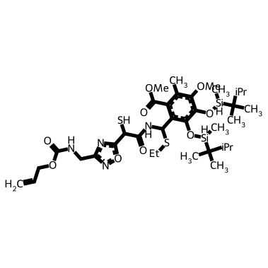 C=CCOC(=O)NCc1noc(C(S)C(=O)NC(SCC)c2c(O[SiH](C)C(C)(C)C(C)C)c(O[SiH](C)C(C)(C)C(C)C)c(OC)c(C)c2C(=O)OC)n1